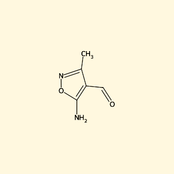 Cc1noc(N)c1C=O